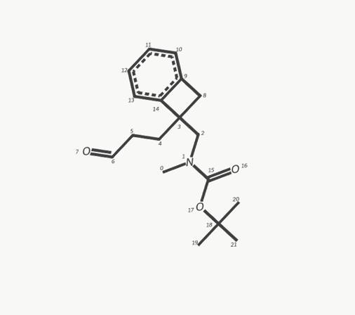 CN(CC1(CCC=O)Cc2ccccc21)C(=O)OC(C)(C)C